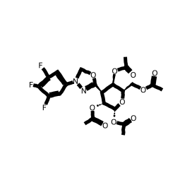 CC(=O)OC[C@H]1O[C@H](OC(C)=O)[C@H](OC(C)=O)[C@@H](C2=NN(c3cc(F)c(F)c(F)c3)CO2)[C@H]1OC(C)=O